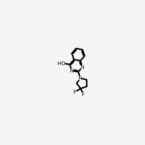 Oc1nc(N2CCC(F)(F)C2)nc2ccc[c]c12